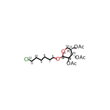 CC(=O)O[C@@H]1[C@@H](OC(C)=O)[C@@H](OCCCCCCCl)OC[C@H]1OC(C)=O